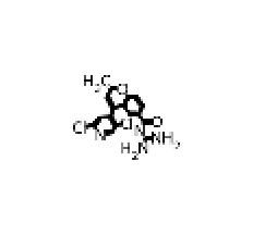 CC1C=C(c2cc(Cl)ncc2Cl)c2cc(C(=O)N=C(N)N)ccc2O1